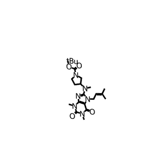 CC(C)=CCn1c(N(C)C2CCN(C(=O)OC(C)(C)C)C2)nc2c1c(=O)n(C)c(=O)n2C